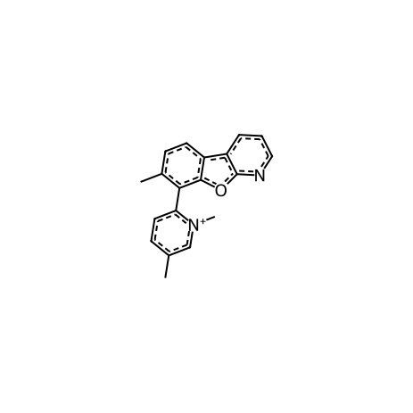 Cc1ccc(-c2c(C)ccc3c2oc2ncccc23)[n+](C)c1